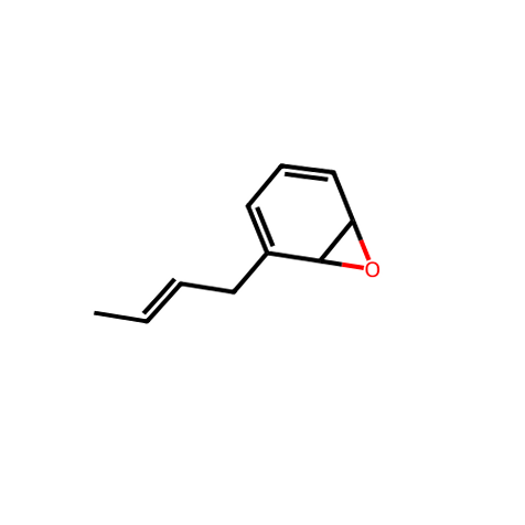 CC=CCC1=CC=CC2OC12